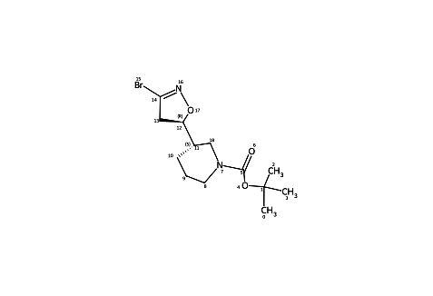 CC(C)(C)OC(=O)N1CCC[C@H]([C@H]2CC(Br)=NO2)C1